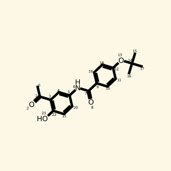 CC(=O)c1cc(NC(=O)c2ccc(OC(C)(C)C)cc2)ccc1O